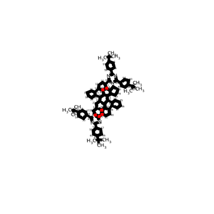 CC(C)(C)c1ccc(-c2nc(-c3ccc(-c4ccccc4-c4c5cc6ccccc6cc5c(-c5ccccc5-c5ccc(-c6nc(-c7ccc(C(C)(C)C)cc7)nc(-c7ccc(C(C)(C)C)cc7)n6)cc5)c5c4ccc4ccccc45)cc3)nc(-c3ccc(C(C)(C)C)cc3)n2)cc1